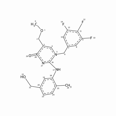 COCc1cn(Cc2cc(F)c(F)c(F)c2)c(Nc2cc(CO)ccc2C)nc1=O